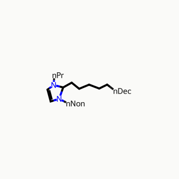 CCCCCCCCCCCCCCCC1N(CCC)C=CN1CCCCCCCCC